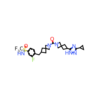 N=S(=O)(c1ccc(CC2CC3(C2)CN(C(=O)N2CC4(CC(c5nc(C6CC6)n[nH]5)C4)C2)C3)c(F)c1)C(F)(F)F